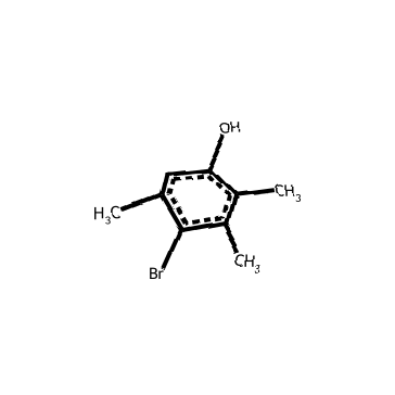 Cc1cc(O)c(C)c(C)c1Br